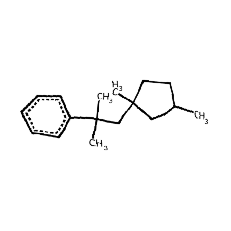 CC1CCC(C)(CC(C)(C)c2ccccc2)C1